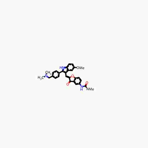 CNC(=O)Nc1ccc2c(c1)C(=O)C(=Cc1c(-c3ccc(CN(C)C)cc3)[nH]c3ccc(OC)cc13)O2